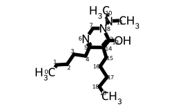 CCCCCC1=NCN(N(C)C)C(O)=C1CCCCC